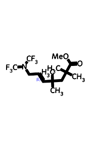 COC(=O)C(C)(C)CC(C)(C)/C=C/CN(C(F)(F)F)C(F)(F)F